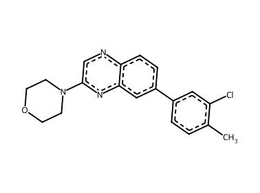 Cc1ccc(-c2ccc3ncc(N4CCOCC4)nc3c2)cc1Cl